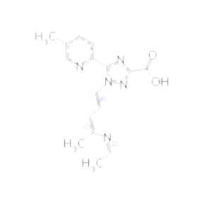 C\C=N/C(C)=C\C=C\n1nc(C(=O)O)nc1-c1ccc(C)cn1